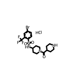 Cl.O=C(C1CCNCC1)N1CCC(NS(=O)(=O)c2ccc(Br)cc2C(F)(F)F)CC1